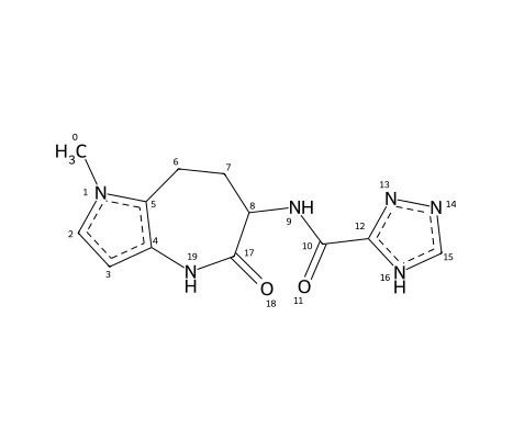 Cn1ccc2c1CCC(NC(=O)c1nnc[nH]1)C(=O)N2